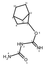 N=C(NC(N)=O)OC1CC2CCC1C2